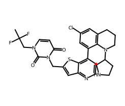 CC(F)(F)Cn1ccc(=O)n(Cc2cc3nccc(-c4cc(Cl)cc5c4N(C4CCNC4)CCC5)c3s2)c1=O